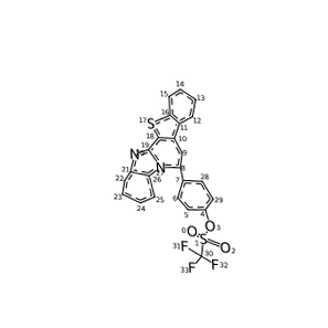 O=S(=O)(Oc1ccc(-c2cc3c4ccccc4sc3c3nc4ccccc4n23)cc1)C(F)(F)F